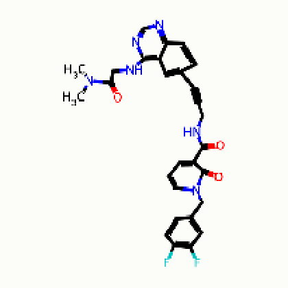 CN(C)C(=O)CNc1ncnc2ccc(C#CCNC(=O)c3cccn(Cc4ccc(F)c(F)c4)c3=O)cc12